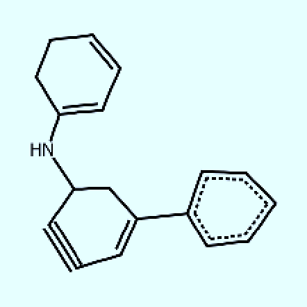 C1#CC(NC2=CC=CCC2)CC(c2ccccc2)=C1